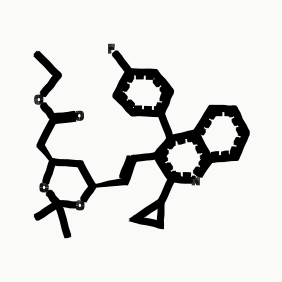 CCOC(=O)C[C@H]1C[C@@H](/C=C/c2c(C3CC3)nc3ccccc3c2-c2ccc(F)cc2)OC(C)(C)O1